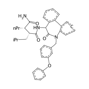 CCC[C@H](C(N)=O)[C@@H](CC(C)C)C(=O)NC1C(=O)N(Cc2cccc(Oc3ccccc3)c2)c2ccccc2-c2ccccc21